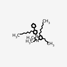 CCCCCCCCc1cc(CCCC)cc(N=C(CC)C(C)=Nc2ccc(-c3ccccc3)c(CCCCCCCC)c2)c1